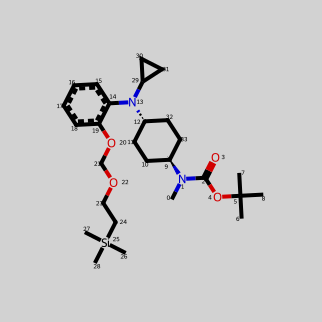 CN(C(=O)OC(C)(C)C)[C@H]1CC[C@H](N(c2ccccc2OCOCC[Si](C)(C)C)C2CC2)CC1